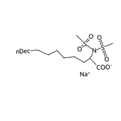 CCCCCCCCCCCCCCCCC(C(=O)[O-])N(S(C)(=O)=O)S(C)(=O)=O.[Na+]